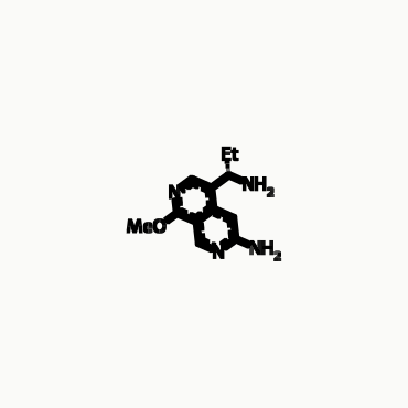 CC[C@H](N)c1cnc(OC)c2cnc(N)cc12